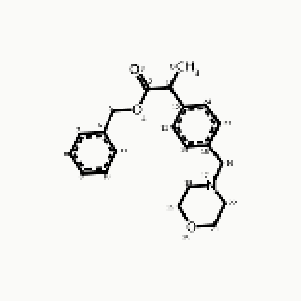 CC(C(=O)OCc1ccccc1)c1ccc(CN2CCOCC2)cc1